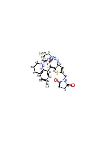 O=C1CCC(=O)N1Cc1cc2nccc(-c3cc(Cl)cc4c3N([C@@H]3CNC[C@H]3F)CCC4)c2s1